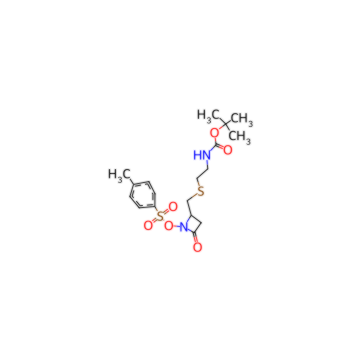 Cc1ccc(S(=O)(=O)ON2C(=O)CC2CSCCNC(=O)OC(C)(C)C)cc1